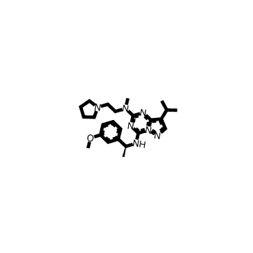 COc1cccc([C@H](C)Nc2nc(N(C)CCN3CCCC3)nc3c(C(C)C)cnn23)c1